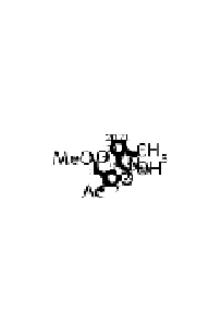 COC(=O)CC1=C(C(C)=O)CCC1.Cc1c2c(cc(=O)n1O)CCC2